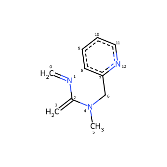 C=NC(=C)N(C)Cc1ccccn1